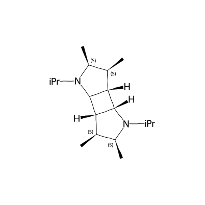 CC(C)N1C2[C@H]([C@H](C)[C@@H]1C)[C@H]1[C@@H]2[C@H](C)[C@H](C)N1C(C)C